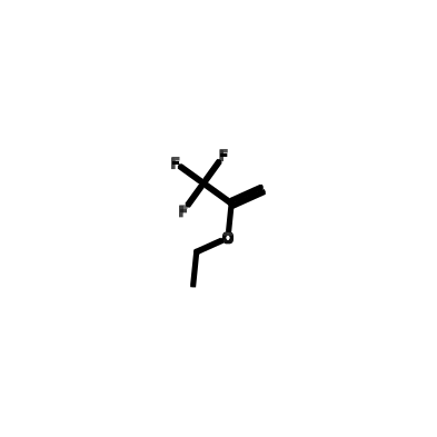 C=C(OCC)C(F)(F)F